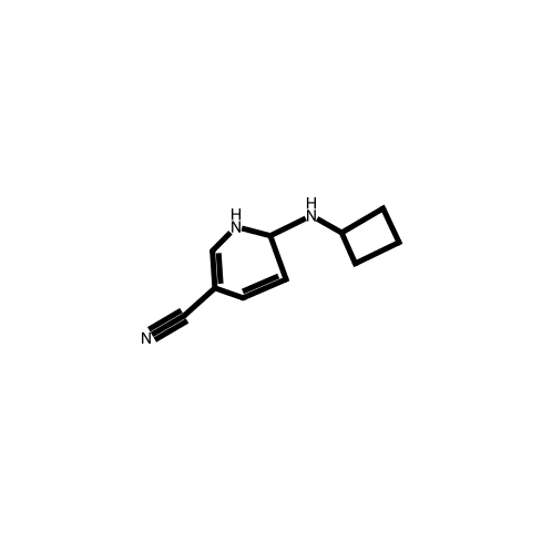 N#CC1=CNC(NC2CCC2)C=C1